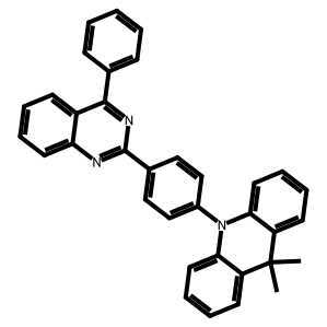 CC1(C)c2ccccc2N(c2ccc(-c3nc(-c4ccccc4)c4ccccc4n3)cc2)c2ccccc21